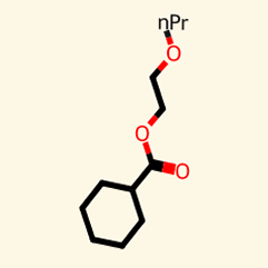 CCCOCCOC(=O)C1CCCCC1